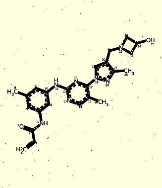 C=CC(=O)Nc1cc(C)cc(Nc2ncc(C)c(-n3cc(CN4CC(O)C4)c(C)n3)n2)c1